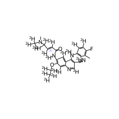 [2H]/C(C(=O)N([2H])c1c(OC([2H])([2H])C([2H])([2H])[2H])c([2H])c2nc([2H])c(C#N)c(N([2H])c3c([2H])c([2H])c(F)c(C)c3[2H])c2c1[2H])=C(/[2H])C([2H])([2H])N(C)C([2H])([2H])[2H]